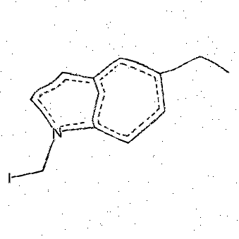 CCc1ccc2c(ccn2CI)c1